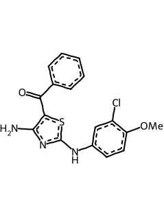 COc1ccc(Nc2nc(N)c(C(=O)c3ccccc3)s2)cc1Cl